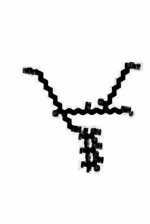 CCCCCCCCC=CCCCCCCCC(=O)N(CCCN)CCCCNCCCN(CCCN)C(=O)CCCCCCCC=CCCCCCCCC.O=C(O)C(F)(F)F.O=C(O)C(F)(F)F.O=C(O)C(F)(F)F